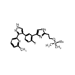 Cc1cccc(-c2n[nH]cc2-c2ccc(F)c(-c3c[nH]c(CCO[Si](C)(C)C(C)(C)C)n3)c2)n1